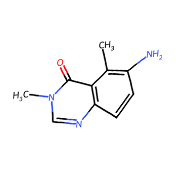 Cc1c(N)ccc2ncn(C)c(=O)c12